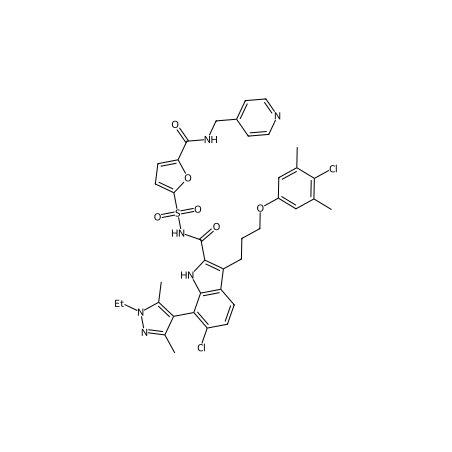 CCn1nc(C)c(-c2c(Cl)ccc3c(CCCOc4cc(C)c(Cl)c(C)c4)c(C(=O)NS(=O)(=O)c4ccc(C(=O)NCc5ccncc5)o4)[nH]c23)c1C